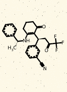 C[C@@H](NC1=C([C@@H](CC(=O)C(F)(F)F)c2cccc(C#N)c2)C(=O)CCC1)c1ccccc1